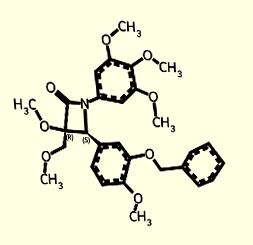 COC[C@@]1(OC)C(=O)N(c2cc(OC)c(OC)c(OC)c2)[C@H]1c1ccc(OC)c(OCc2ccccc2)c1